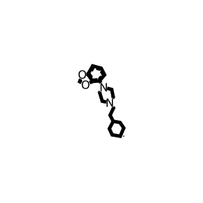 [CH]1CCC(CCN2CCN(c3cccc4c3OCO4)CC2)CC1